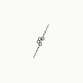 CCCCC/C=C/C=C/COC(=O)CC(=O)OC/C=C/C=C/CCCCC